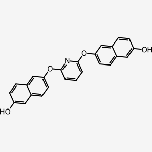 Oc1ccc2cc(Oc3cccc(Oc4ccc5cc(O)ccc5c4)n3)ccc2c1